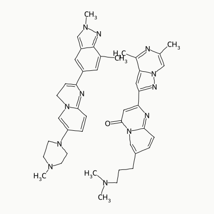 Cc1cc(C2=CCN3C=C(N4CCN(C)CC4)C=CC3=N2)cc2cn(C)nc12.Cc1cn2nc(-c3cc(=O)n4cc(CCCN(C)C)ccc4n3)cc2c(C)n1